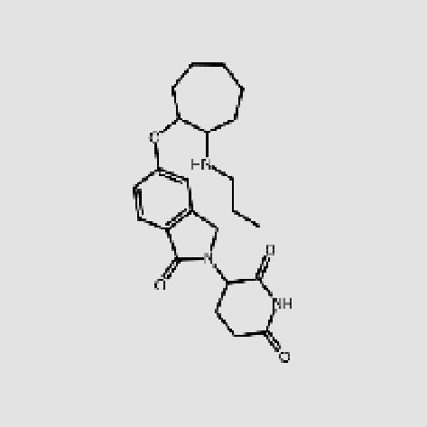 CCCNC1CCCCCC1Oc1ccc2c(c1)CN(C1CCC(=O)NC1=O)C2=O